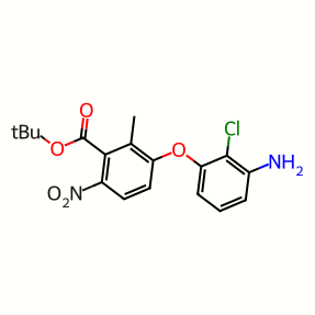 Cc1c(Oc2cccc(N)c2Cl)ccc([N+](=O)[O-])c1C(=O)OC(C)(C)C